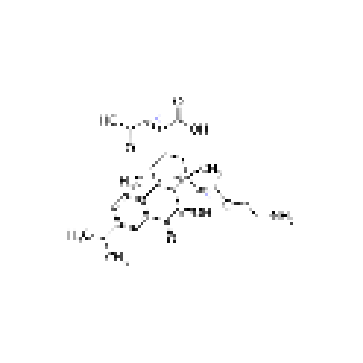 CC(C)c1ccc2c(c1)C(=O)[C@H](O)C1[C@@](C)(/C=N/OCCN)CCC[C@]21C.O=C(O)/C=C/C(=O)O